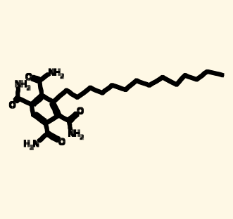 CCCCCCCCCCCCCCc1c(C(N)=O)c(C(N)=O)cc(C(N)=O)c1C(N)=O